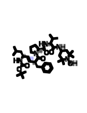 CC(C)C[C@@H](/C=C/[C@H](Cc1ccccc1)C(=O)N1CCC[C@H]1C(=O)N[C@@H](C(=O)NC1CC(C)(C)N(O)C(C)(C)C1)C(C)C)NC(=O)OC(C)(C)C